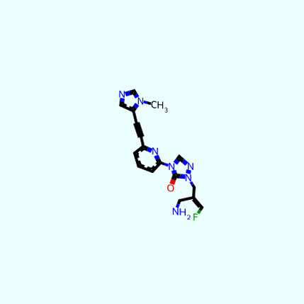 Cn1cncc1C#Cc1cccc(-n2cnn(C/C(=C/F)CN)c2=O)n1